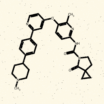 Cc1nc(NC(=O)N2CCC3(CC3)C2=O)ccc1Oc1ccnc(-c2ccc(C3CCN(C)CC3)cc2)c1